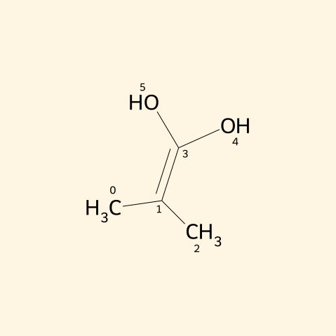 CC(C)=C(O)O